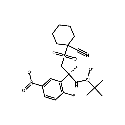 CC(C)(C)[S@@+]([O-])N[C@](C)(CS(=O)(=O)C1(C#N)CCCCC1)c1cc([N+](=O)[O-])ccc1F